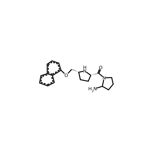 NC1CCCN1C(=O)[C@@H]1CC[C@H](COc2cccc3ccccc23)N1